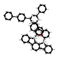 c1ccc(-c2ccc(-c3nc(-c4ccccc4)nc(-c4cccc(-n5c6ccccc6c6ccc7c8ccccc8n(-c8cccc9c8oc8ccccc89)c7c65)c4)n3)cc2)cc1